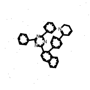 C1=CC(c2ccc(-c3c(-c4nc(-c5ccccc5)nc(-c5ccccc5)n4)ccc4ccccc34)cc2)=NCC1